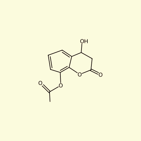 CC(=O)Oc1cccc2c1OC(=O)CC2O